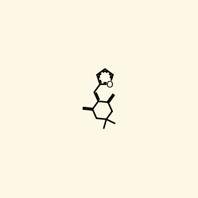 C=C1CC(C)(C)CC(=C)C1=Cc1ccco1